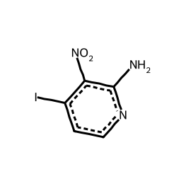 Nc1nccc(I)c1[N+](=O)[O-]